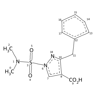 CN(C)S(=O)(=O)n1cc(C(=O)O)c(Cc2ccccc2)n1